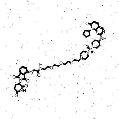 O=C(COc1cccc2c1C(=O)N(C1CCC(=O)NC1=O)C2=O)NCCOCCOCCOCCN1CCN(S(=O)(=O)N2CCC(Nc3ncc4ccc(=O)n(C5CCCC5)c4n3)CC2)CC1